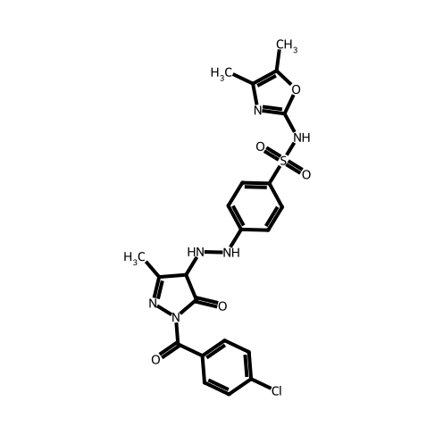 CC1=NN(C(=O)c2ccc(Cl)cc2)C(=O)C1NNc1ccc(S(=O)(=O)Nc2nc(C)c(C)o2)cc1